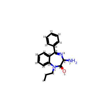 CCCN1C(=O)C(N)N=C(c2ccccc2)c2ccccc21